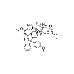 CCOc1nc(NC(c2ccccc2)(c2ccccc2)c2ccc(OC)cc2)nc2c1ncn2[C@@H]1O[C@]2(F)COP(=O)(OCC(C)C)O[C@H]2[C@@]1(C)F